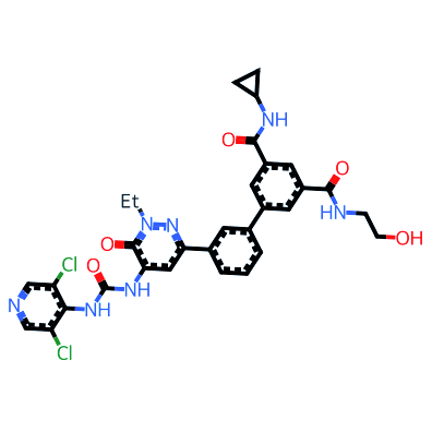 CCn1nc(-c2cccc(-c3cc(C(=O)NCCO)cc(C(=O)NC4CC4)c3)c2)cc(NC(=O)Nc2c(Cl)cncc2Cl)c1=O